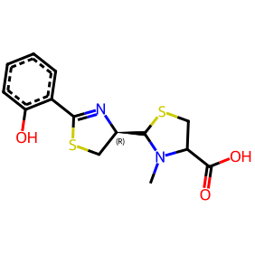 CN1C(C(=O)O)CSC1[C@H]1CSC(c2ccccc2O)=N1